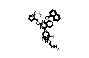 CN1CCCC1COc1nc2c(c(N3C[C@H]4C[C@@H](CCN)[C@@H](C3)N4)n1)CCN(c1cccc3cccc(Cl)c13)C2